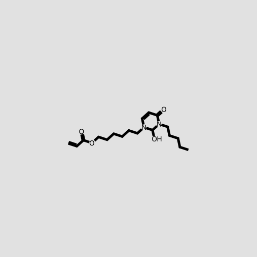 C=CC(=O)OCCCCCCN1C=CC(=O)N(CCCCC)C1O